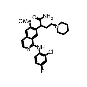 COc1cc2ccnc(Nc3ccc(F)cc3Cl)c2cc1C(CCN1CCCCC1)C(N)=O